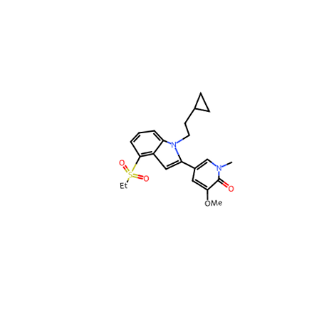 CCS(=O)(=O)c1cccc2c1cc(-c1cc(OC)c(=O)n(C)c1)n2CCC1CC1